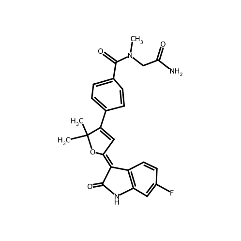 CN(CC(N)=O)C(=O)c1ccc(C2=CC(=C3C(=O)Nc4cc(F)ccc43)OC2(C)C)cc1